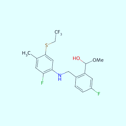 COC(O)c1cc(F)ccc1CNc1cc(SCC(F)(F)F)c(C)cc1F